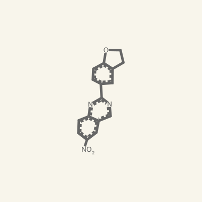 O=[N+]([O-])c1ccc2nc(-c3ccc4c(c3)CCO4)ncc2c1